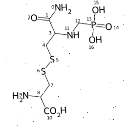 NC(=O)C(CSSCC(N)C(=O)O)NCP(=O)(O)O